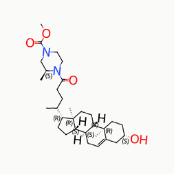 COC(=O)N1CCN(C(=O)CCC(C)[C@H]2CC[C@H]3[C@@H]4CC=C5C[C@@H](O)CC[C@]5(C)[C@H]4CC[C@]23C)[C@@H](C)C1